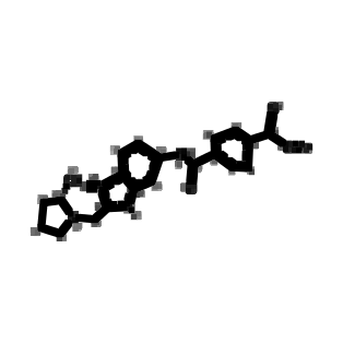 COC(=O)c1ccc(C(=O)Nc2ccc3[nH]c(CN4CCC[C@@H]4C)nc3c2)cc1